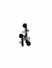 CCOC(=O)CCCc1ccccc1NC(=O)[C@H](CCCNC(=O)OCc1ccccc1)NC(=O)c1cc2ccccc2n1C